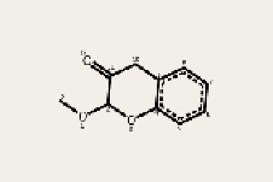 COC1Oc2ccccc2CC1=O